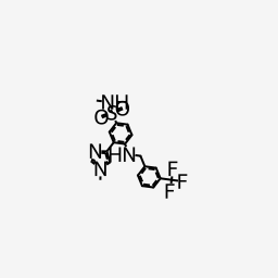 CNS(=O)(=O)c1ccc(NCc2cccc(C(F)(F)F)c2)c(-c2cn(C)cn2)c1